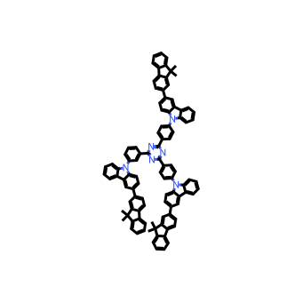 CC1(C)c2ccccc2-c2ccc(-c3ccc4c(c3)c3ccccc3n4-c3ccc(-c4nc(-c5ccc(-n6c7ccccc7c7cc(-c8ccc9c(c8)C(C)(C)c8ccccc8-9)ccc76)cc5)nc(-c5cccc(-n6c7ccccc7c7cc(-c8ccc9c(c8)C(C)(C)c8ccccc8-9)ccc76)c5)n4)cc3)cc21